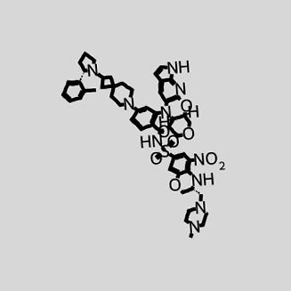 Cc1ccccc1[C@@H]1CCCN1C1CC2(CCN(c3ccc(C(=O)NS(=O)(=O)c4cc5c(c([N+](=O)[O-])c4)N[C@H](CN4CCN(C)CC4)CO5)c(N4c5cc6cc[nH]c6nc5O[C@H]5COCC[C@@H]54)c3)CC2)C1